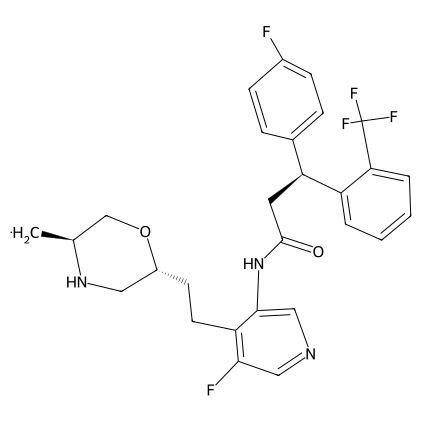 [CH2][C@H]1CO[C@H](CCc2c(F)cncc2NC(=O)C[C@@H](c2ccc(F)cc2)c2ccccc2C(F)(F)F)CN1